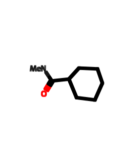 [CH2]NC(=O)C1CCCCC1